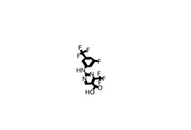 O=C(O)c1cnc(Nc2cc(F)cc(C(F)(F)F)c2)nc1C(F)(F)F